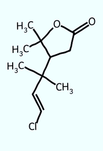 CC(C)(C=CCl)C1CC(=O)OC1(C)C